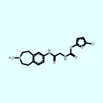 CN1CCc2ccc(NC(=O)CNC(=O)Oc3ccc(Cl)s3)cc2CC1